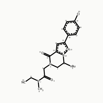 CCCCC1CN(CC(=O)N(C)CC#N)C(=O)c2cc(-c3ccc(Cl)cc3)nn21